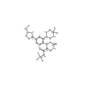 COC1CCN(c2ccc(C3CNCCN3C(=O)OC(C)(C)C)c(C3CCC(C)(C)CC3)c2)C1